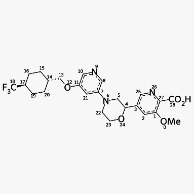 COc1cc(C2CN(c3cncc(OC[C@H]4CC[C@H](C(F)(F)F)CC4)c3)CCO2)cnc1C(=O)O